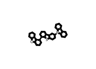 c1ccc2c(c1)oc1cccc(-c3cccc4c3sc3ccc(-n5c6ccccc6c6ccccc65)cc34)c12